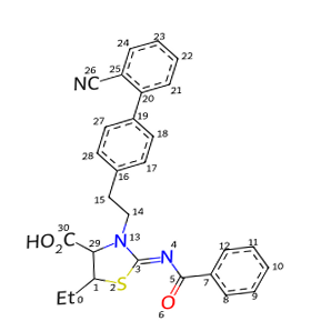 CCC1SC(=NC(=O)c2ccccc2)N(CCc2ccc(-c3ccccc3C#N)cc2)C1C(=O)O